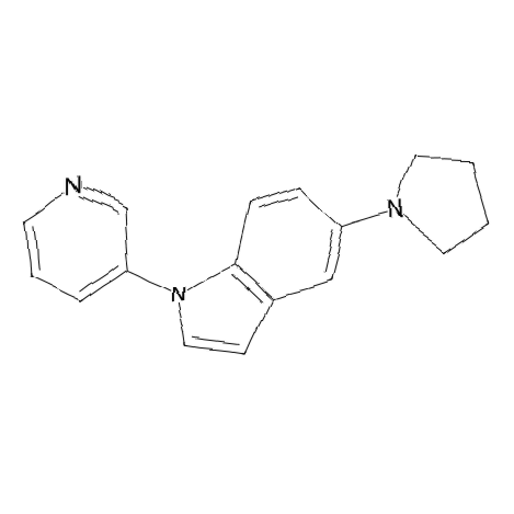 c1cncc(-n2ccc3cc(N4CCCC4)ccc32)c1